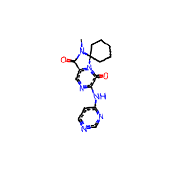 CN1C(=O)c2cnc(Nc3ccncn3)c(=O)n2C12CCCCC2